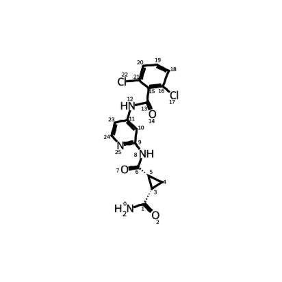 NC(=O)[C@H]1C[C@H]1C(=O)Nc1cc(NC(=O)c2c(Cl)cccc2Cl)ccn1